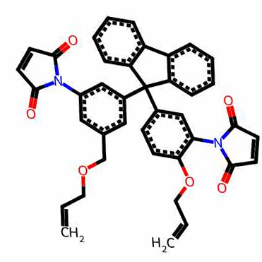 C=CCOCc1cc(N2C(=O)C=CC2=O)cc(C2(c3ccc(OCC=C)c(N4C(=O)C=CC4=O)c3)c3ccccc3-c3ccccc32)c1